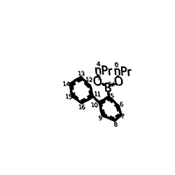 CCCOB(OCCC)c1ccccc1-c1ccccc1